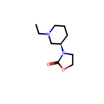 CCN1CCC[C@@H](N2CCOC2=O)C1